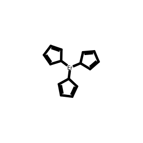 C1=C[CH]([Er]([CH]2C=CC=C2)[CH]2C=CC=C2)C=C1